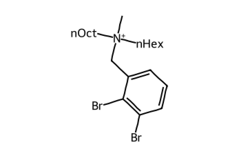 CCCCCCCC[N+](C)(CCCCCC)Cc1cccc(Br)c1Br